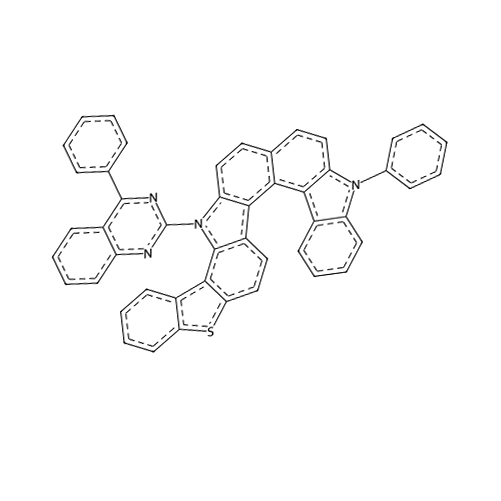 c1ccc(-c2nc(-n3c4ccc5ccc6c(c7ccccc7n6-c6ccccc6)c5c4c4ccc5sc6ccccc6c5c43)nc3ccccc23)cc1